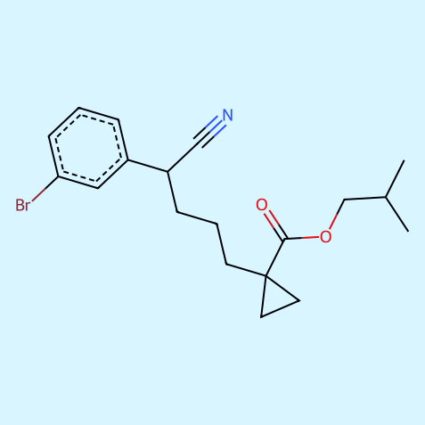 CC(C)COC(=O)C1(CCCC(C#N)c2cccc(Br)c2)CC1